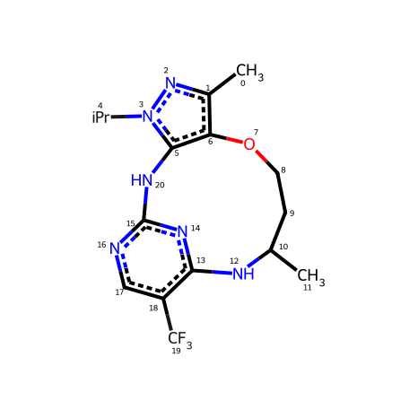 Cc1nn(C(C)C)c2c1OCCC(C)Nc1nc(ncc1C(F)(F)F)N2